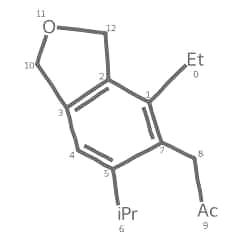 CCc1c2c(cc(C(C)C)c1CC(C)=O)COC2